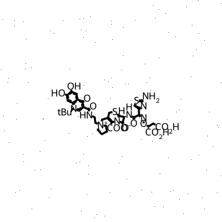 CC(C)(C)n1cc(C(=O)NCC[N+]2(CC3=C(C(=O)[O-])N4C(=O)[C@@H](NC(=O)/C(=N\O[C@@H](CC(=O)O)C(=O)O)c5csc(N)n5)[C@H]4SC3)CCCC2)c(=O)c2cc(O)c(O)cc21